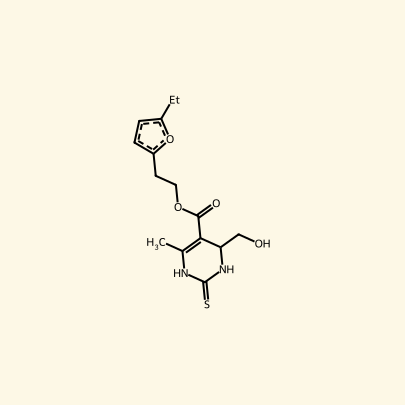 CCc1ccc(CCOC(=O)C2=C(C)NC(=S)NC2CO)o1